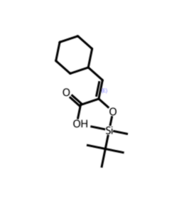 CC(C)(C)[Si](C)(C)O/C(=C/C1CCCCC1)C(=O)O